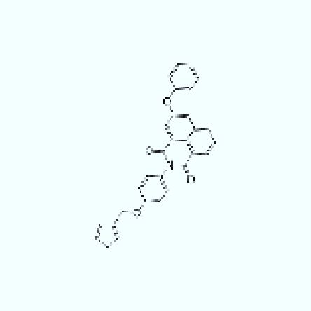 O=C1c2cccc3cc(Oc4ccccc4)cc(c23)C(=O)N1c1ccc(OCC2=CCC=C2)cc1